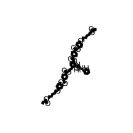 C=CC(=O)OCCCCCCOc1ccc(OC(=O)C2CCC(C(=O)OCCc3ccc(OC(=O)C4CCC(C(=O)Oc5ccc(OCCCCCCOC(=O)C=C)cc5)CC4)c4nc(NNc5ccccc5)sc34)CC2)cc1